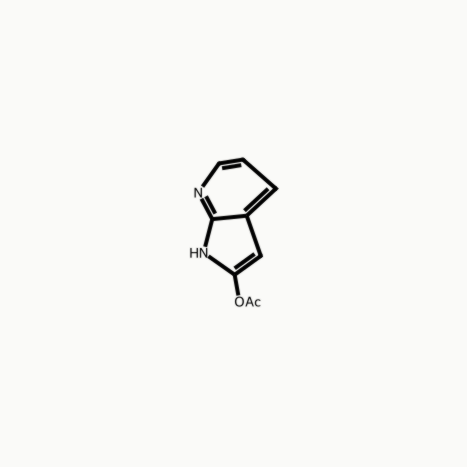 CC(=O)Oc1cc2cccnc2[nH]1